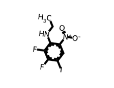 CCNc1c([N+](=O)[O-])cc(I)c(F)c1F